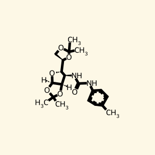 Cc1ccc(NC(=O)N[C@H]2[C@H]3OC(C)(C)O[C@H]3O[C@@H]2[C@H]2COC(C)(C)O2)cc1